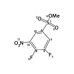 COS(=O)(=O)c1cc(F)c(F)c([N+](=O)[O-])c1